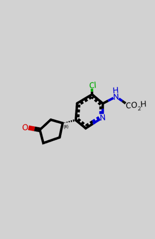 O=C1CC[C@@H](c2cnc(NC(=O)O)c(Cl)c2)C1